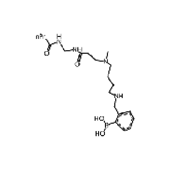 CCCC(=O)NCNC(=O)CCN(C)CCCCNCc1ccccc1B(O)O